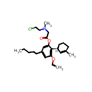 C=COc1cc(CCCCC)cc(OC(=O)CN(C)CCCl)c1[C@@H]1C=C(C)CCC1